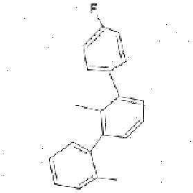 Cc1ccccc1-c1[c]ccc(-c2ccc(F)cc2)c1C